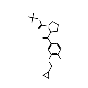 CC(C)(C)OC(=O)N1CCCC1C(=O)c1ccc(F)c(OCC2CC2)c1